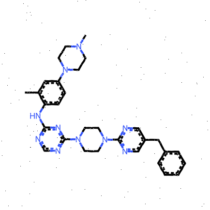 Cc1cc(N2CCN(C)CC2)ccc1Nc1ncnc(N2CCN(c3ncc(Cc4ccccc4)cn3)CC2)n1